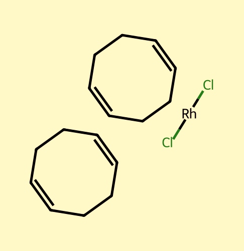 C1=CCCC=CCC1.C1=CCCC=CCC1.[Cl][Rh][Cl]